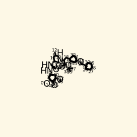 COc1cc(NC(=O)NC(CC(C)C)C(=O)NC(Cc2ccc(OCc3ccccc3)cc2)C(=O)OC(C)(C)C)cc(OC)c1OC